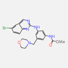 COC(=O)Nc1cc(CN2CCOCC2)cc(Nc2ncc3cc(Br)ccc3n2)c1